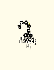 Bc1c(B)c(B)c(-c2c3ccccc3c(-c3ccc(-c4ccc5sc6ccc(-c7cccc(-c8ccccc8)c7)cc6c5c4)cc3)c3ccccc23)c(B)c1B